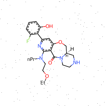 CCCN(CCOCC)c1nc(-c2c(O)cccc2F)cc2c1C(=O)N1CCNC[C@@H]1CO2